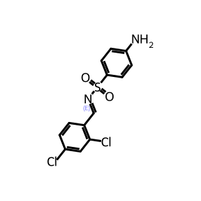 Nc1ccc(S(=O)(=O)/N=C/c2ccc(Cl)cc2Cl)cc1